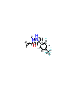 [2H]C([2H])(NN(C)C(=O)C1CC1)c1ccc(C(F)(F)F)cc1F